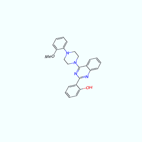 COc1ccccc1N1CCN(c2nc(-c3ccccc3O)nc3ccccc23)CC1